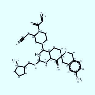 C=CC(=O)N1CCN(C2NC(OCC3CCCN3C)NC3C(=O)[C@@]4(CCC32)Cc2cc(C)ccc2CO4)CC1CC#N